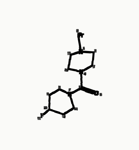 CC(C)N1CCN(C(=O)N2CCC(F)CC2)CC1